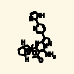 CC(=O)c1c(C2C[C@H]3CC[C@@H](C2)N3C(C)=O)nc2c(-c3ccc(-c4ncc[nH]4)nc3)cnn2c1N